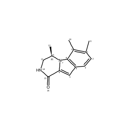 Cc1ccc2cc3n(c2c1C)[C@H](C)CNC3=O